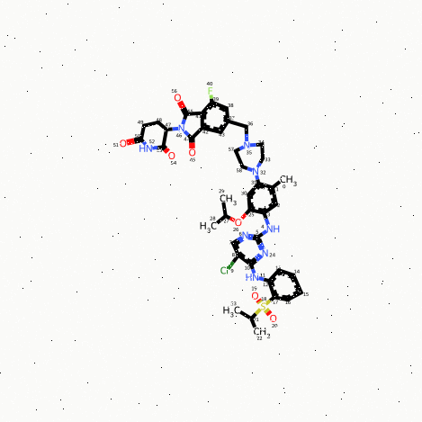 Cc1cc(Nc2ncc(Cl)c(Nc3ccccc3S(=O)(=O)C(C)C)n2)c(OC(C)C)cc1N1CCN(Cc2cc(F)c3c(c2)C(=O)N(C2CCC(=O)NC2=O)C3=O)CC1